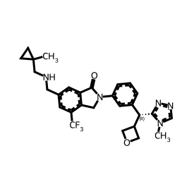 Cn1cnnc1[C@@H](c1cccc(N2Cc3c(cc(CNCC4(C)CC4)cc3C(F)(F)F)C2=O)c1)C1COC1